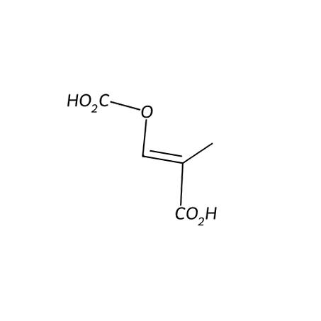 CC(=COC(=O)O)C(=O)O